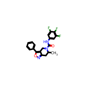 CC1Cc2noc(-c3ccccc3)c2CN1C(=O)Nc1cc(F)c(F)c(F)c1